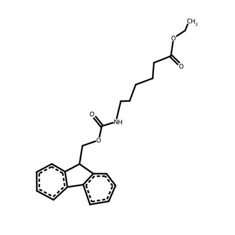 CCOC(=O)CCCCCNC(=O)OCC1c2ccccc2-c2ccccc21